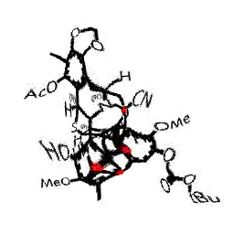 C=CCN1[C@@H]2c3c(cc(C)c(OC)c3O)C[C@@H]1[C@H](C#N)N1C2[C@@H]2SC[C@]3(NCCc4cc(OC(=O)OC(C)(C)C)c(OC)cc43)C(=O)OC[C@H]1c1c3c(c(C)c(OC(C)=O)c12)OCO3